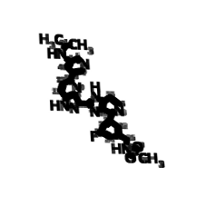 CC(C)Nc1cncc(-c2ccc3[nH]nc(-c4nc5c(-c6cc(F)cc(CNS(C)(=O)=O)c6)nccc5[nH]4)c3n2)c1